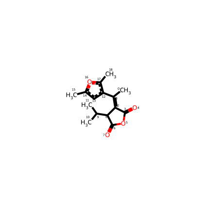 C/C(=C1\C(=O)OC(=O)C1C(C)C)c1cc(C)oc1C